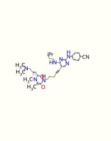 CC(C)CCNc1nc(Nc2ccc(C#N)cc2)ncc1C#CCCCNC(=O)[C@H](C)N(C)C(=O)/C=C/CN(C)C